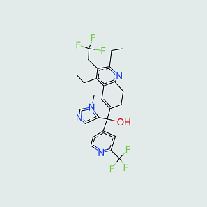 CCc1nc2c(c(CC)c1CC(F)(F)F)C=C(C(O)(c1ccnc(C(F)(F)F)c1)c1cncn1C)CC2